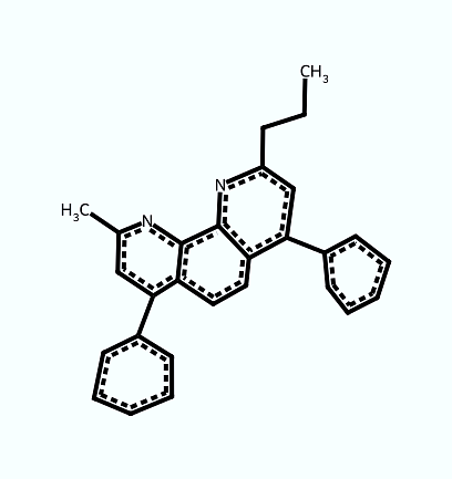 CCCc1cc(-c2ccccc2)c2ccc3c(-c4ccccc4)cc(C)nc3c2n1